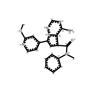 COc1cc(-c2cc(C(=O)N(C)c3ccccc3)c3c(N)ncnn23)ccn1